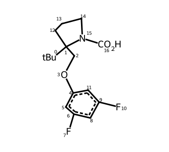 CC(C)(C)C1(COc2cc(F)cc(F)c2)CCCN1C(=O)O